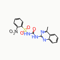 Cc1nc(NC(=O)NS(=O)(=O)c2ccccc2[N+](=O)[O-])nc2ccccc12